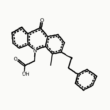 Cc1c(CCc2ccccc2)ccc2c(=O)c3ccccc3n(CC(=O)O)c12